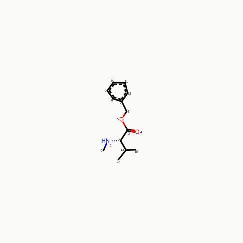 CN[C@H](C(=O)OCc1ccccc1)C(C)C